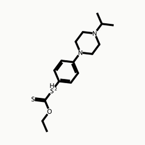 CCOC(=S)[SH2]c1ccc(N2CCN(C(C)C)CC2)cc1